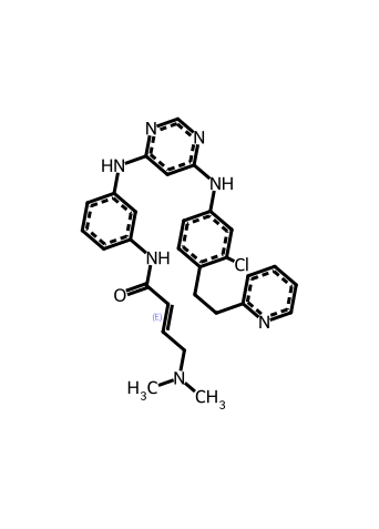 CN(C)C/C=C/C(=O)Nc1cccc(Nc2cc(Nc3ccc(CCc4ccccn4)c(Cl)c3)ncn2)c1